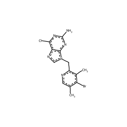 Cc1cnc(Cn2cnc3c(Cl)nc(N)nc32)c(C)c1Br